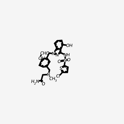 CN(CC(N)=O)Cc1cccc(Cn2nc(NS(=O)(=O)c3ccc(Cl)s3)c3c(O)cccc32)c1.O=CO